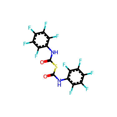 O=C(Nc1c(F)c(F)c(F)c(F)c1F)SC(=O)Nc1c(F)c(F)c(F)c(F)c1F